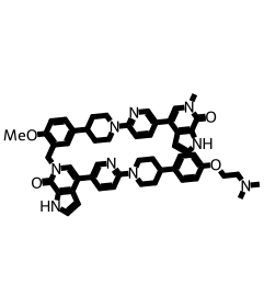 COc1ccc(C2CCN(c3ccc(-c4cn(C)c(=O)c5[nH]ccc45)cn3)CC2)cc1Cn1cc(-c2ccc(N3CCC(c4ccc(OCCN(C)C)cc4)CC3)nc2)c2cc[nH]c2c1=O